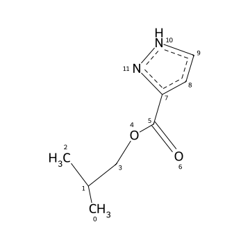 CC(C)COC(=O)c1cc[nH]n1